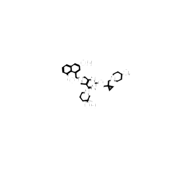 COC1CCN(CC2(COc3nc4c(c(N5CCC[C@@](C)(O)C5)n3)CN(C(=O)c3cc(O)cc5cccc(I)c35)C4)CC2)CC1